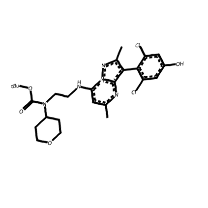 Cc1cc(NCCN(C(=O)OC(C)(C)C)C2CCOCC2)n2nc(C)c(-c3c(Cl)cc(O)cc3Cl)c2n1